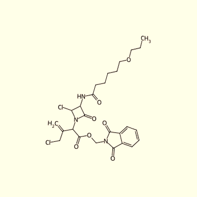 C=C(CCl)C(C(=O)OCN1C(=O)c2ccccc2C1=O)N1C(=O)C(NC(=O)CCCCCOCCC)C1Cl